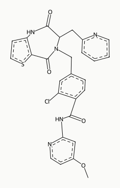 COc1ccnc(NC(=O)c2ccc(CN3C(=O)c4sccc4NC(=O)C3Cc3ccccn3)cc2Cl)c1